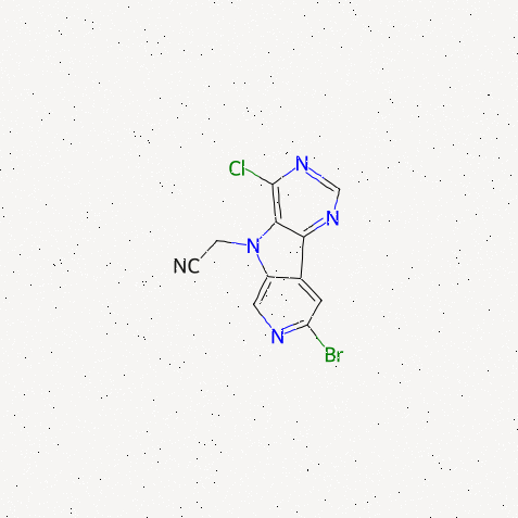 N#CCn1c2cnc(Br)cc2c2ncnc(Cl)c21